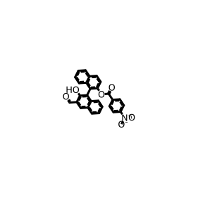 O=Cc1cc2ccccc2c(-c2c(OC(=O)c3ccc([N+](=O)[O-])cc3)ccc3ccccc23)c1O